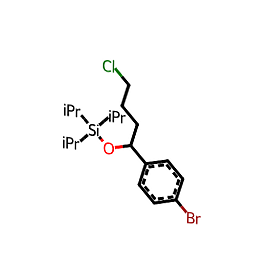 CC(C)[Si](OC(CCCCl)c1ccc(Br)cc1)(C(C)C)C(C)C